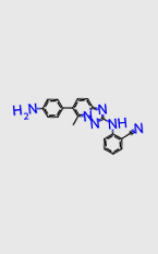 Cc1c(-c2ccc(N)cc2)ccc2nc(Nc3ccccc3C#N)nn12